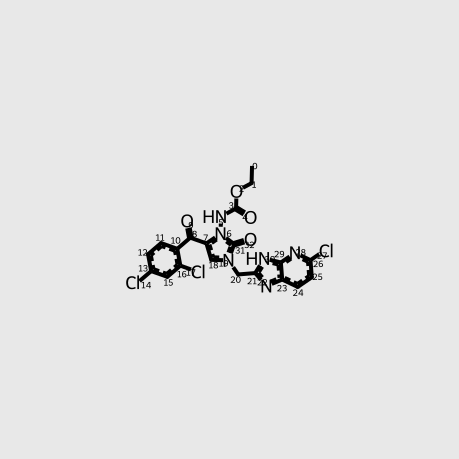 CCOC(=O)Nn1c(C(=O)c2ccc(Cl)cc2Cl)cn(Cc2nc3ccc(Cl)nc3[nH]2)c1=O